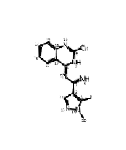 Cc1c(C(=N)/N=c2\[nH]c(Cl)nc3ccccc23)cnn1C